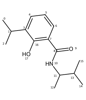 CC(C)c1cccc(C(=O)NC(C)C(C)C)c1O